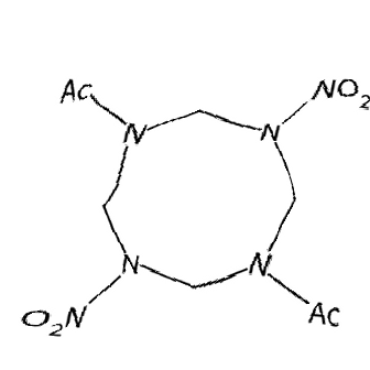 CC(=O)N1CN([N+](=O)[O-])CN(C(C)=O)CN([N+](=O)[O-])C1